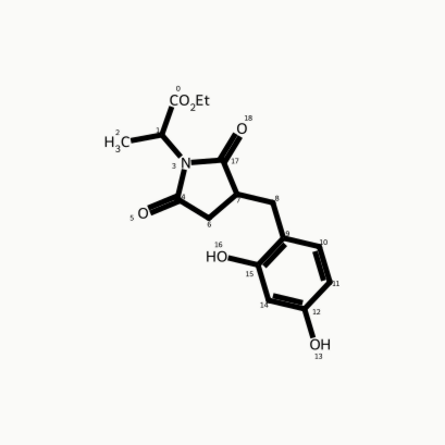 CCOC(=O)C(C)N1C(=O)CC(Cc2ccc(O)cc2O)C1=O